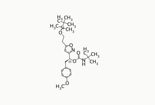 COc1ccc(C[C@H](OC(=O)NC(C)(C)C)c2cc(CCO[Si](C)(C)C(C)(C)C)on2)cc1